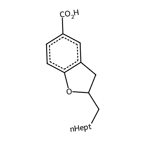 CCCCCCCCC1Cc2cc(C(=O)O)ccc2O1